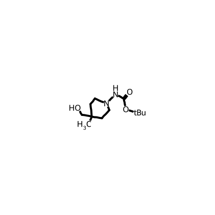 CC1(CO)CCN(NC(=O)OC(C)(C)C)CC1